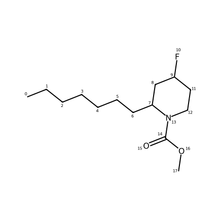 CCCCCCCC1CC(F)CCN1C(=O)OC